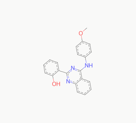 COc1ccc(Nc2nc(-c3ccccc3O)nc3ccccc23)cc1